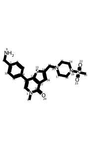 Cn1cc(-c2ccc(CN)cc2)c2sc(CN3CCN(S(C)(=O)=O)CC3)cc2c1=O